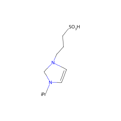 CC(C)N1C=CN(CCCS(=O)(=O)O)C1